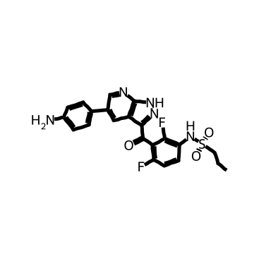 CCCS(=O)(=O)Nc1ccc(F)c(C(=O)c2n[nH]c3ncc(-c4ccc(N)cc4)cc23)c1F